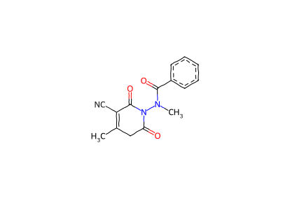 CC1=C(C#N)C(=O)N(N(C)C(=O)c2ccccc2)C(=O)C1